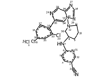 Cl.N#Cc1ccc(NC2CCCN([N+]34C=C(c5ccc(Cl)cc5Cl)N=CC3=NC=N4)C2)nc1